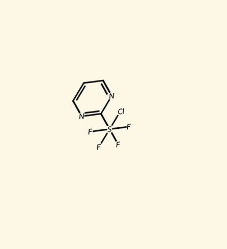 FS(F)(F)(F)(Cl)c1ncccn1